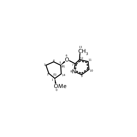 CO[C@H]1CCC[C@@H](Oc2ncccc2C)C1